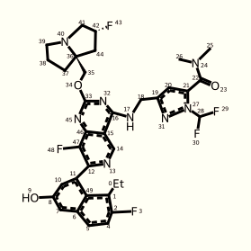 CCc1c(F)ccc2cc(O)cc(-c3ncc4c(NCc5cc(C(=O)N(C)C)n(C(F)F)n5)nc(OC[C@@]56CCCN5C[C@H](F)C6)nc4c3F)c12